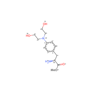 COC(=O)[C@@H](N)Cc1ccc(N(CCO)CCO)cc1